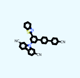 N#Cc1ccc(-c2ccc(-c3cc(-c4nc5ccccc5s4)cc(-n4c5cc(C#N)ccc5c5ccc(C#N)cc54)c3)cc2)cc1